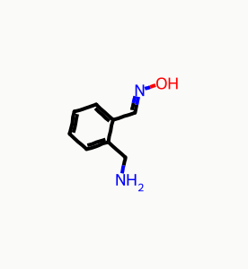 NCc1ccccc1C=NO